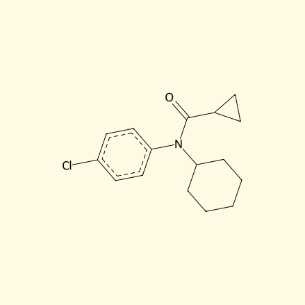 O=C(C1CC1)N(c1ccc(Cl)cc1)C1CCCCC1